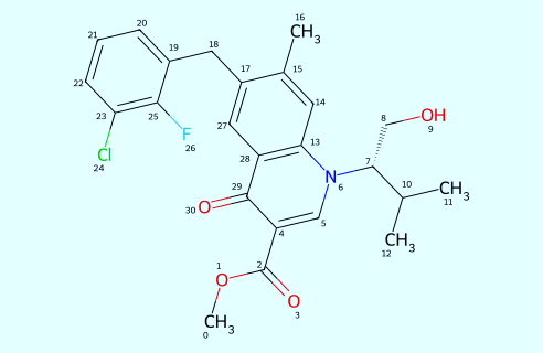 COC(=O)c1cn([C@H](CO)C(C)C)c2cc(C)c(Cc3cccc(Cl)c3F)cc2c1=O